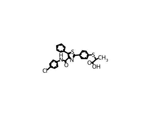 CC(Sc1ccc(-c2nc(C(=O)Nc3ccc(Cl)cc3)c(-c3ccccc3)s2)cc1)C(=O)O